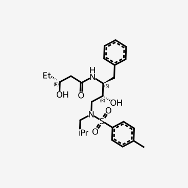 CC[C@@H](O)CC(=O)N[C@@H](Cc1ccccc1)[C@H](O)CN(CC(C)C)S(=O)(=O)c1ccc(C)cc1